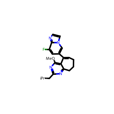 COc1nc(CC(C)C)nc2c1C(c1cc(F)c3nccn3c1)=CCCC2